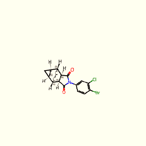 O=C1[C@@H]2[C@@H]3CC[C@@H]([C@H]4C[C@H]43)[C@@H]2C(=O)N1c1ccc(Br)c(Cl)c1